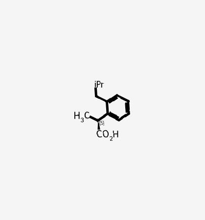 CC(C)Cc1ccccc1[C@H](C)C(=O)O